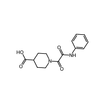 O=C(Nc1ccccc1)C(=O)N1CCC(C(=O)O)CC1